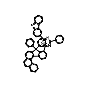 c1ccc(-c2nc(-c3ccc4sc5ccccc5c4c3)nc(-c3cccc4c3C(c3ccccc3)(c3ccccc3)c3ccc5ccc6ccccc6c5c3-4)n2)cc1